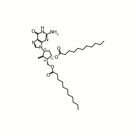 C=C1[C@H](COC(=O)CCCCCCCCCC)[C@@H](OC(=O)CCCCCCCCCC)C[C@@H]1n1cnc2c(=O)[nH]c(N)nc21